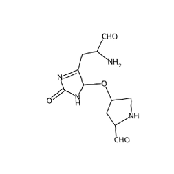 NC(C=O)CC1=NC(=O)NC1OC1CNC(C=O)C1